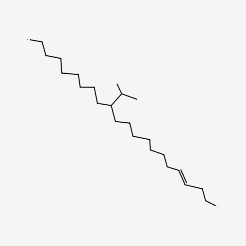 [CH2]CC/C=C/CCCCCCCC(CCCCCCCC[CH2])C(C)C